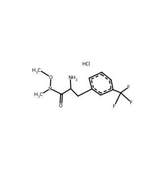 CON(C)C(=O)C(N)Cc1cccc(C(F)(F)F)c1.Cl